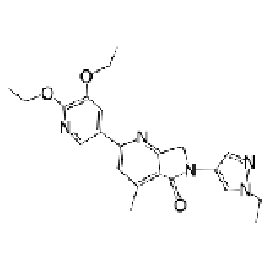 CCOc1cc(-c2cc(C)c3c(n2)CN(c2cnn(CC)c2)C3=O)cnc1OCC